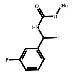 [CH2]CC(NC(=O)OC(C)(C)C)c1cccc(F)c1